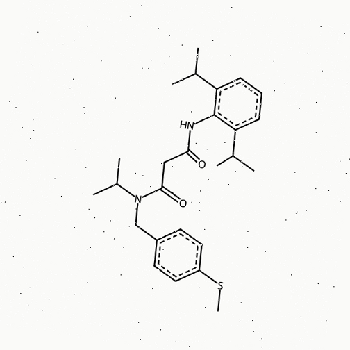 CSc1ccc(CN(C(=O)CC(=O)Nc2c(C(C)C)cccc2C(C)C)C(C)C)cc1